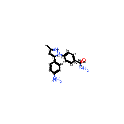 Cc1cc(-c2ccc(N)cc2)n(-c2ccc(C(N)=O)cc2)n1